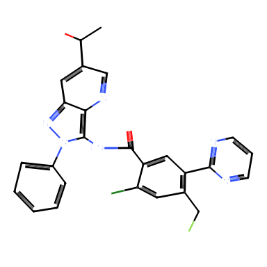 CC(O)c1cnc2c(NC(=O)c3cc(-c4ncccn4)c(CF)cc3Cl)n(-c3ccccc3)nc2c1